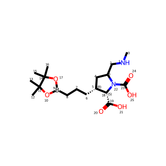 CNCC1C[C@@H](CCCB2OC(C)(C)C(C)(C)O2)[C@@H](C(=O)O)N1C(=O)O